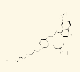 CCCCSCCCN1CCC(CCCc2ccnc3ccc(OC)cc23)C(CCC(=O)O)C1